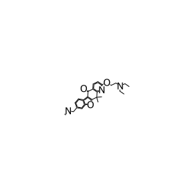 C=NCc1ccc2c3c(oc2c1)C(C)(C)c1nc(OCCN(CC)CC)ccc1C3=O